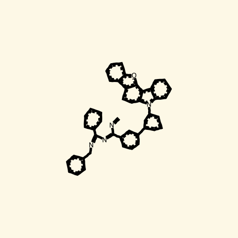 C=N/C(=N\C(=N/Cc1ccccc1)c1ccccc1)c1cccc(-c2cccc(-n3c4ccccc4c4c5oc6ccccc6c5ccc43)c2)c1